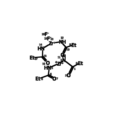 CCC(=O)[NH][Zr+][NH]C(=O)CC.CCC(=O)[NH][Zr+][NH]C(=O)CC.[F-].[F-]